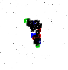 O=S(=O)(NCCOc1ccc2c(c1)C(C1(c3ccc(Cl)cc3)CCC1)NCC2)c1ccc(Cl)nc1